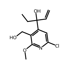 C=CC(O)(CC)c1cc(Cl)nc(OC)c1CO